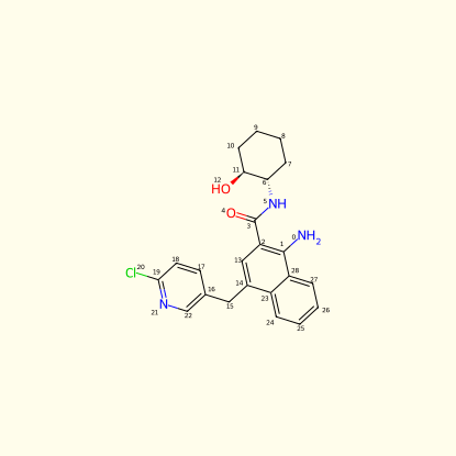 Nc1c(C(=O)N[C@H]2CCCC[C@@H]2O)cc(Cc2ccc(Cl)nc2)c2ccccc12